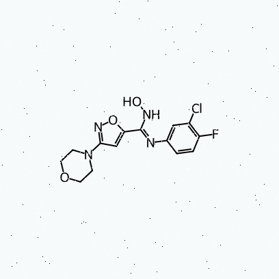 ONC(=Nc1ccc(F)c(Cl)c1)c1cc(N2CCOCC2)no1